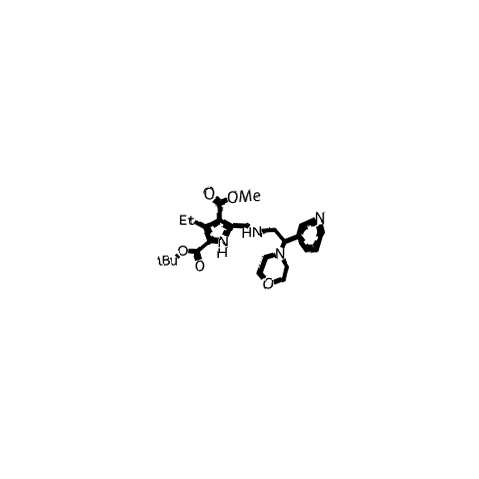 CCc1c(C(=O)OC(C)(C)C)[nH]c(CNCC(c2cccnc2)N2CCOCC2)c1C(=O)OC